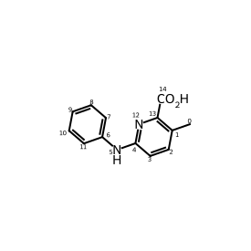 Cc1ccc(Nc2ccccc2)nc1C(=O)O